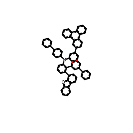 c1ccc(-c2ccc(N(c3cccc(-c4ccc5c6ccccc6c6ccccc6c5c4)c3)c3cccc(-c4cccc5c4oc4ccccc45)c3-c3cccc(-c4ccccc4)c3)cc2)cc1